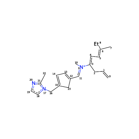 C=CCC(=C\C=C(\C)CC)/[N+](C)=C/C1=CC=C(Cn2ccnc2C)C1